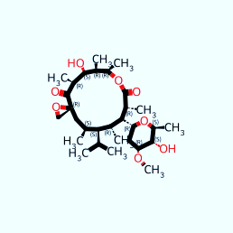 CO[C@@H]1C[C@H](C2[C@@H](C)C(=O)O[C@H](C)[C@H](C)[C@H](O)[C@@H](C)C(=O)[C@]3(CO3)C[C@H](C)[C@H](C(C)C)[C@H]2C)O[C@@H](C)[C@@H]1O